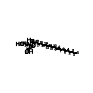 CCCCCC=CCC=CCC=CCC=CCCCC(=O)ON(CCO)NCCO